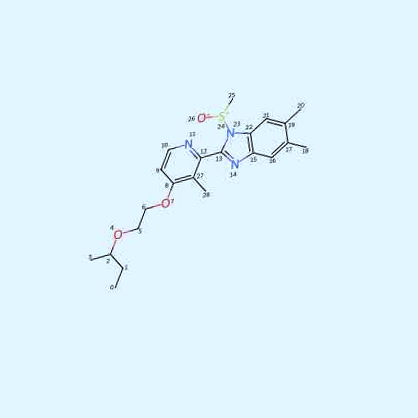 CCC(C)OCCOc1ccnc(-c2nc3cc(C)c(C)cc3n2[S+](C)[O-])c1C